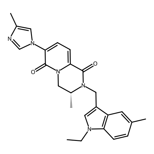 CCn1cc(CN2C(=O)c3ccc(-n4cnc(C)c4)c(=O)n3C[C@H]2C)c2cc(C)ccc21